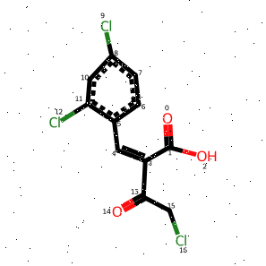 O=C(O)/C(=C\c1ccc(Cl)cc1Cl)C(=O)CCl